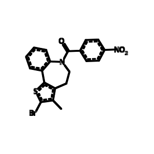 Cc1c(Br)sc2c1CCN(C(=O)c1ccc([N+](=O)[O-])cc1)c1ccccc1-2